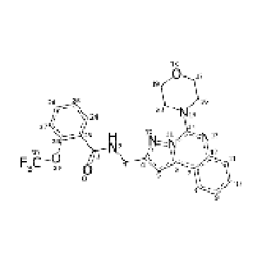 O=C(NCc1cc2c3ccccc3nc(N3CCOCC3)n2n1)c1ccccc1OC(F)(F)F